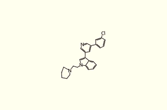 Clc1cccc(-c2cncc(-c3cn(CCN4CCCCC4)c4ccccc34)c2)c1